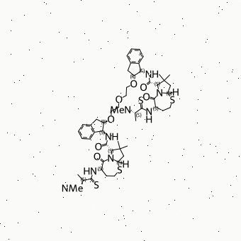 CN[C@@H](C)C(=S)N[C@H]1CCS[C@H]2CC(C)(C)[C@@H](C(=O)N[C@H]3c4ccccc4C[C@H]3OCCOCCO[C@@H]3Cc4ccccc4[C@@H]3NC(=O)[C@H]3N4C(=O)[C@@H](NC(=S)[C@H](C)NC)CCS[C@H]4CC3(C)C)N2C1=O